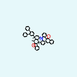 CC1C2=C3C(C)(c4ccccc4N(c4cccc5oc6c7ccccc7ccc6c45)C3(C)C=CC2(C)c2ccc(-c3ccccc3)c(-c3ccccc3)c2)c2c1oc1ccccc21